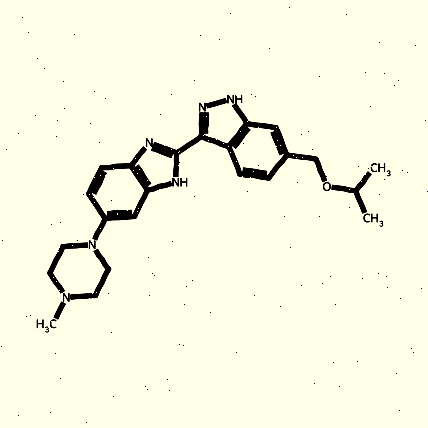 CC(C)OCc1ccc2c(-c3nc4ccc(N5CCN(C)CC5)cc4[nH]3)n[nH]c2c1